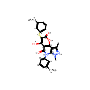 COc1cccc(Sc2c(O)c3c(=O)n(-c4cccc(OC)c4)c4c(c(C)nn4C)c3oc2=O)c1